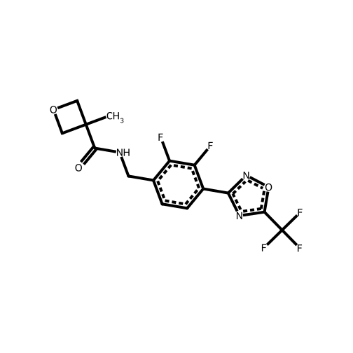 CC1(C(=O)NCc2ccc(-c3noc(C(F)(F)F)n3)c(F)c2F)COC1